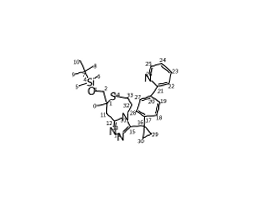 CC1(CO[Si](C)(C)C(C)(C)C)Cc2nnc(C3(c4ccc(-c5ccccn5)cc4)CC3)n2CCS1